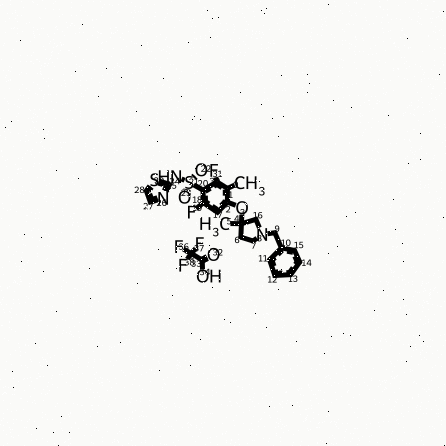 Cc1c(OC2(C)CCN(Cc3ccccc3)C2)cc(F)c(S(=O)(=O)Nc2nccs2)c1F.O=C(O)C(F)(F)F